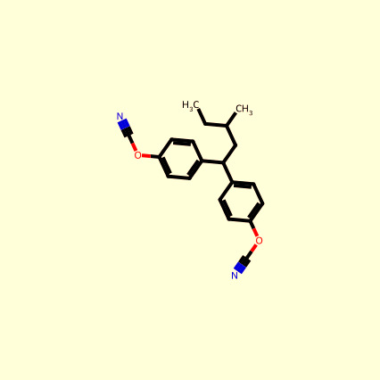 CCC(C)CC(c1ccc(OC#N)cc1)c1ccc(OC#N)cc1